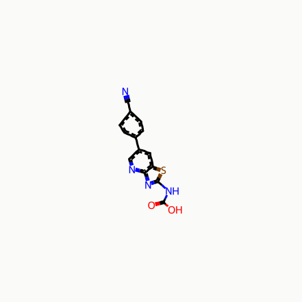 N#Cc1ccc(-c2cnc3nc(NC(=O)O)sc3c2)cc1